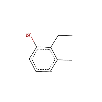 CCc1c(C)[c]ccc1Br